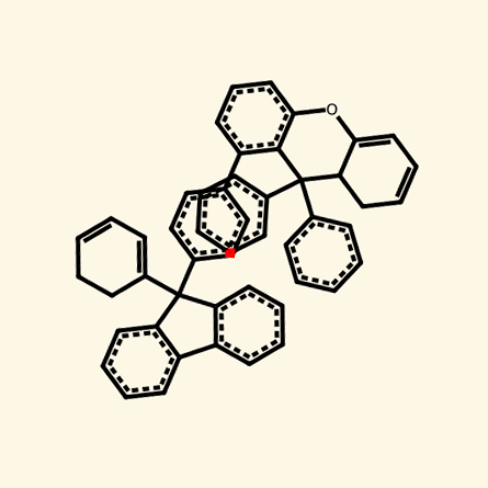 C1=CCCC(C2(c3ccc(-c4cccc5c4C(c4ccccc4)(c4ccccc4)C4CC=CC=C4O5)cc3)c3ccccc3-c3ccccc32)=C1